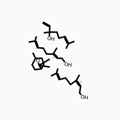 C=CC(C)(O)CCC=C(C)C.CC(C)=CCC/C(C)=C/CO.CC(C)=CCC/C(C)=C\CO.CC12CCC(CC1)C(C)(C)O2